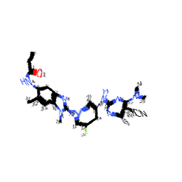 C=CC(=O)Nc1cc2nc(N3C[C@H](F)C[C@@H](Nc4ncc(C#N)c(N(C)C)n4)C3)n(C)c2cc1C